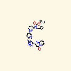 CC(C)(C)OC(=O)N(CC1CCC1)[C@@H]1CCCN(c2ccc(Cn3cc(-c4cc(=O)n5ccccc5n4)nn3)nc2)C1